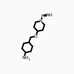 N=PN1CCC(OCC2CCC(N)CC2)CC1